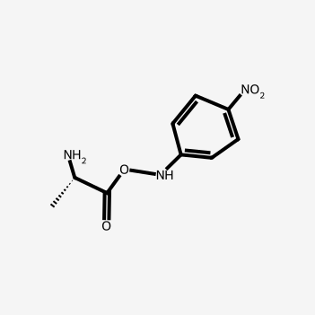 C[C@H](N)C(=O)ONc1ccc([N+](=O)[O-])cc1